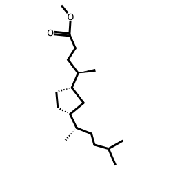 COC(=O)CC[C@@H](C)[C@H]1CC[C@@H]([C@@H](C)CCC(C)C)C1